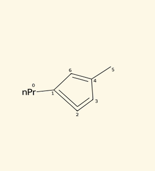 CCCC1=C=CC(C)=C1